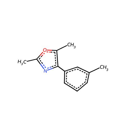 Cc1cccc(-c2nc(C)oc2C)c1